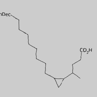 CCCCCCCCCCCCCCCCCCC1CC1C(C)CCC(=O)O